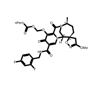 CCCCCC(=O)OCOc1c2n(cc(C(=O)NCc3ccc(F)cc3F)c1=O)[C@@H]1CN(C2=O)[C@@H](C)CC[C@]12CC(OC)=NO2